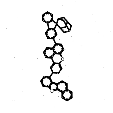 C1=C2Oc3ccc(-c4ccc5c(c4)C4(c6ccccc6-5)C5CC6CC(C5)CC4C6)c4cccc(c34)C2=CC(c2cccc3oc4c5ccccc5ccc4c23)C1